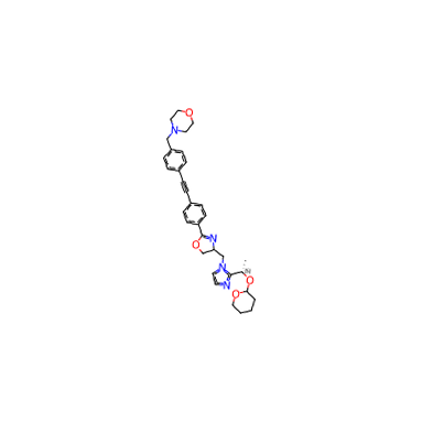 C[C@H](OC1CCCCO1)c1nccn1CC1COC(c2ccc(C#Cc3ccc(CN4CCOCC4)cc3)cc2)=N1